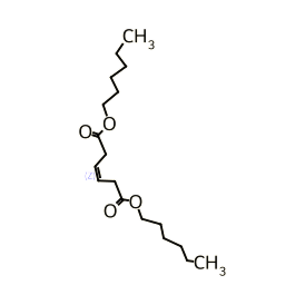 CCCCCCOC(=O)C/C=C\CC(=O)OCCCCCC